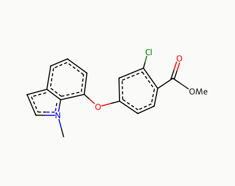 COC(=O)c1ccc(Oc2cccc3ccn(C)c23)cc1Cl